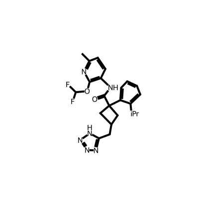 Cc1ccc(NC(=O)C2(c3ccccc3C(C)C)CC(Cc3nnn[nH]3)C2)c(OC(F)F)n1